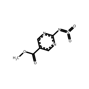 COC(=O)c1cnc(N=S(=O)=O)nc1